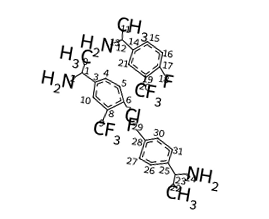 CC(N)c1ccc(Cl)c(C(F)(F)F)c1.CC(N)c1ccc(F)c(C(F)(F)F)c1.CC(N)c1ccc(F)cc1